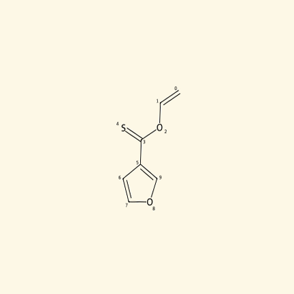 C=COC(=S)c1ccoc1